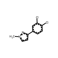 Cn1[c]cc(-c2ccc(Cl)c(Cl)c2)n1